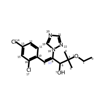 CCOC(C)(C)C(O)/C(=C/c1ccc(Cl)cc1Cl)n1cncn1